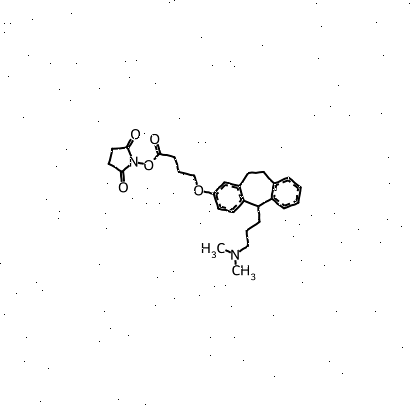 CN(C)CCCC1c2ccccc2CCc2cc(OCCCC(=O)ON3C(=O)CCC3=O)ccc21